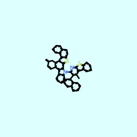 C=C1C=Cc2c(c3c(sc4ccc5ccccc5c43)c3c2c2ccccc2n3-c2nc3sc4ccccc4c3c(C)c2-c2cccc3ccccc23)C1